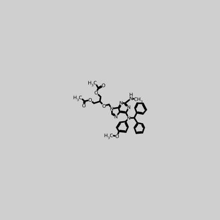 CNc1nc(N(c2ccc(OC)cc2)C(c2ccccc2)c2ccccc2)c2ncn(COC(COC(C)=O)COC(C)=O)c2n1